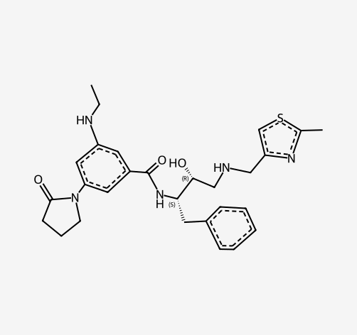 CCNc1cc(C(=O)N[C@@H](Cc2ccccc2)[C@H](O)CNCc2csc(C)n2)cc(N2CCCC2=O)c1